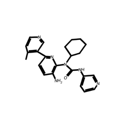 Cc1ccncc1-c1ccc(N)c(N(C(=O)Nc2cccnc2)C2CCCCC2)n1